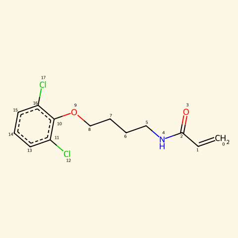 C=CC(=O)NCCCCOc1c(Cl)cccc1Cl